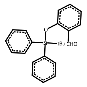 CC(C)(C)[Si](Oc1ccccc1C=O)(c1ccccc1)c1ccccc1